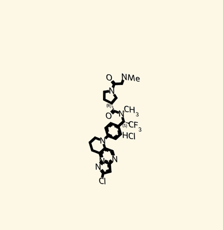 CNCC(=O)N1CC[C@@H](C(=O)N(C)[C@@H](c2ccc(N3CCCc4c3cnc3cc(Cl)nn43)cc2)C(F)(F)F)C1.Cl